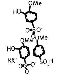 COc1ccc(S(=O)(=O)O)cc1.COc1ccc(S(=O)(=O)[O-])cc1O.COc1ccc(S(=O)(=O)[O-])cc1O.[K+].[K+]